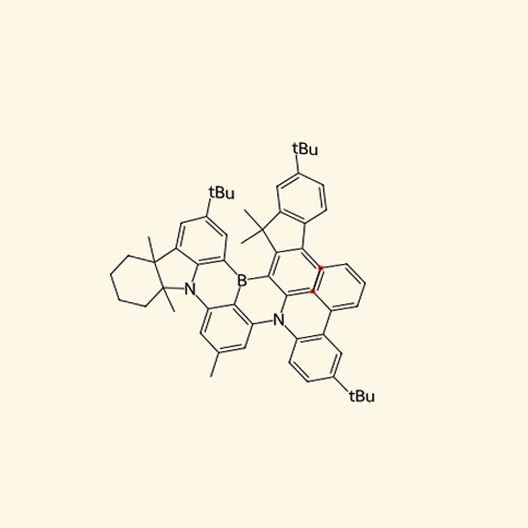 Cc1cc2c3c(c1)N1c4c(cc(C(C)(C)C)cc4C4(C)CCCCC14C)B3c1c(ccc3c1C(C)(C)c1cc(C(C)(C)C)ccc1-3)N2c1ccc(C(C)(C)C)cc1-c1ccccc1